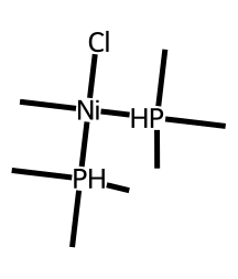 C[PH](C)(C)[Ni]([CH3])([Cl])[PH](C)(C)C